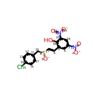 O=[N+]([O-])c1cc(/C=C/[S+]([O-])Cc2ccc(Cl)cc2)c(O)c([N+](=O)[O-])c1